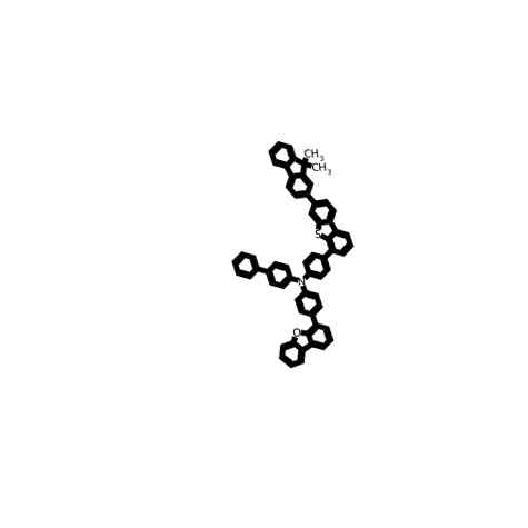 CC1(C)c2ccccc2-c2ccc(-c3ccc4c(c3)sc3c(-c5ccc(N(c6ccc(-c7ccccc7)cc6)c6ccc(-c7cccc8c7oc7ccccc78)cc6)cc5)cccc34)cc21